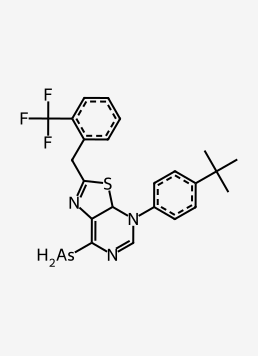 CC(C)(C)c1ccc(N2C=NC([AsH2])=C3N=C(Cc4ccccc4C(F)(F)F)SC32)cc1